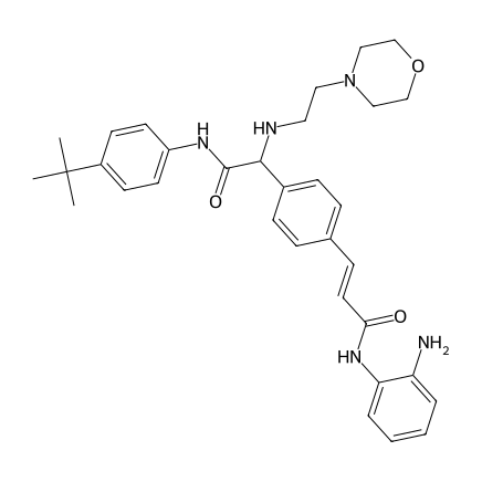 CC(C)(C)c1ccc(NC(=O)C(NCCN2CCOCC2)c2ccc(C=CC(=O)Nc3ccccc3N)cc2)cc1